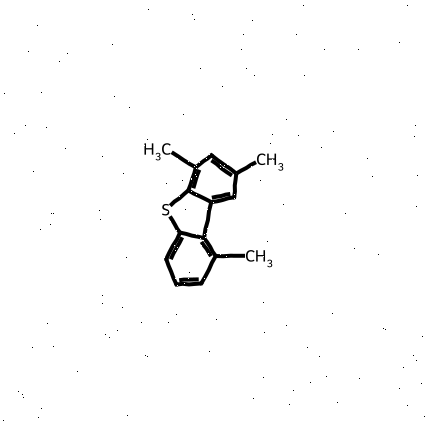 Cc1cc(C)c2sc3cccc(C)c3c2c1